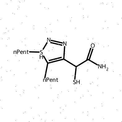 CCCCCC1=C(C(S)C(N)=O)N=N[SH]1CCCCC